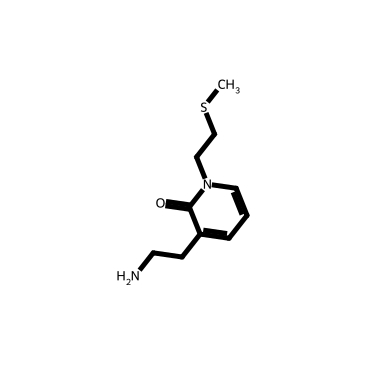 CSCCn1cccc(CCN)c1=O